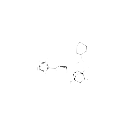 C(=C/C[C@@H]1[C@H](COC2CCCCC2)[C@@H]2CC[C@H]1O2)/Cc1nnn[nH]1